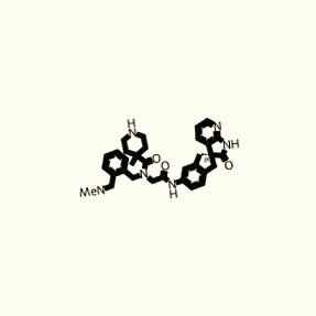 CNCc1ccccc1CN(CC(=O)Nc1ccc2c(c1)C[C@@]1(C2)C(=O)Nc2ncccc21)C(=O)C1(C)CCNCC1